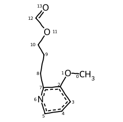 COc1cccnc1CCCOC=O